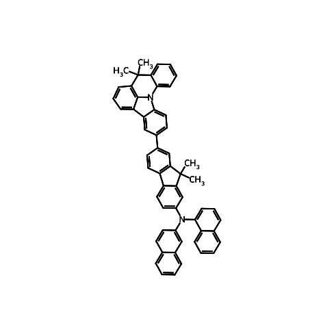 CC1(C)c2cc(-c3ccc4c(c3)c3cccc5c3n4-c3ccccc3C5(C)C)ccc2-c2ccc(N(c3ccc4ccccc4c3)c3cccc4ccccc34)cc21